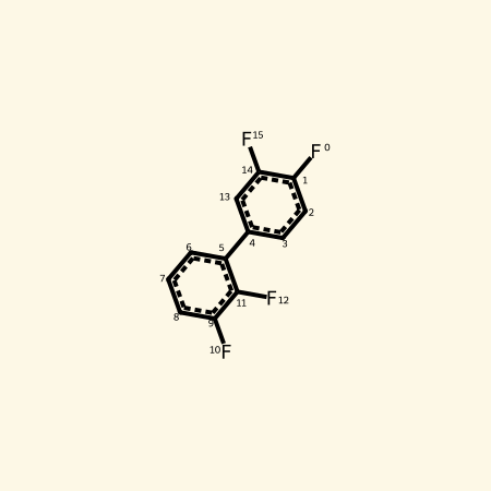 Fc1ccc(-c2cccc(F)c2F)cc1F